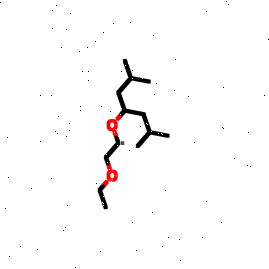 CCOC[CH]OC(CC(C)C)CC(C)C